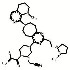 C=C(F)C(=O)N1CCN(c2nc(OC[C@@H]3CCCN3C)nc3c2CCN(c2nccc4c2N(C)CCC4)CC3)C[C@@H]1CC#N